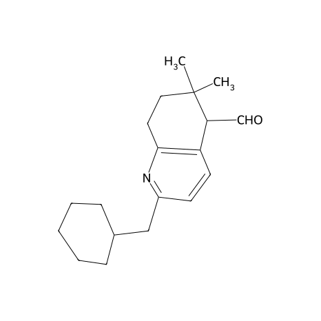 CC1(C)CCc2nc(CC3CCCCC3)ccc2C1C=O